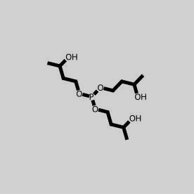 CC(O)CCOP(OCCC(C)O)OCCC(C)O